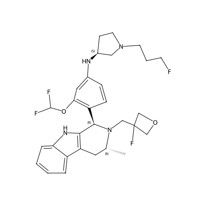 C[C@@H]1Cc2c([nH]c3ccccc23)[C@@H](c2ccc(N[C@H]3CCN(CCCF)C3)cc2OC(F)F)N1CC1(F)COC1